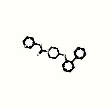 O=C(Nc1cccnc1)N1CCC(Oc2ccccc2-c2ccccc2)CC1